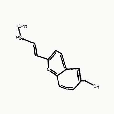 O=CNC=Cc1ccc2cc(O)ccc2n1